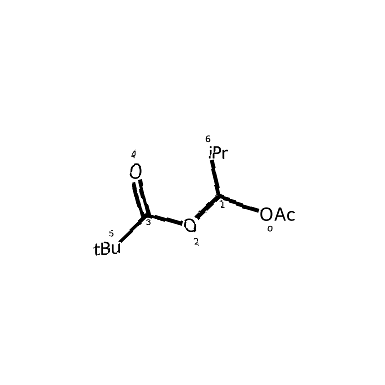 CC(=O)OC(OC(=O)C(C)(C)C)C(C)C